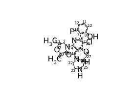 C[C@@H]1CN(c2nc(-c3c(O)cccc3F)c(Cl)c3c2C(=O)N2CCNC[C@@H]2CO3)C[C@H](C)O1